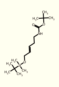 CC(C)(C)OC(=O)NCCC=CCO[Si](C)(C)C(C)(C)C